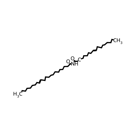 CCCCCCCCC=CCCCCCCCCCCCC(=O)NC(=O)CCCCCCCC=CCCCCCCCC